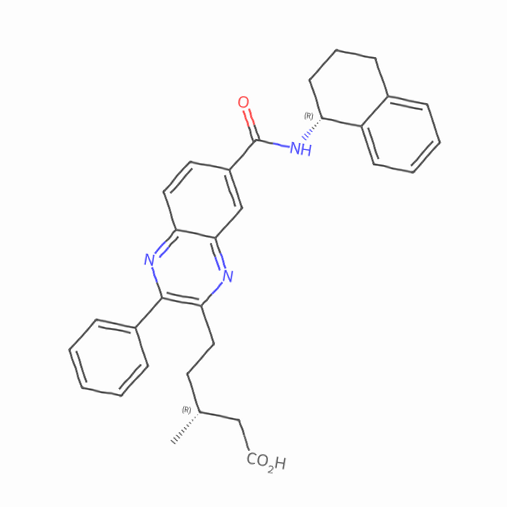 C[C@H](CCc1nc2cc(C(=O)N[C@@H]3CCCc4ccccc43)ccc2nc1-c1ccccc1)CC(=O)O